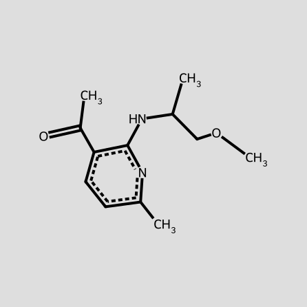 COCC(C)Nc1nc(C)ccc1C(C)=O